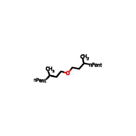 CCCCCC(C)CCOCCC(C)CCCCC